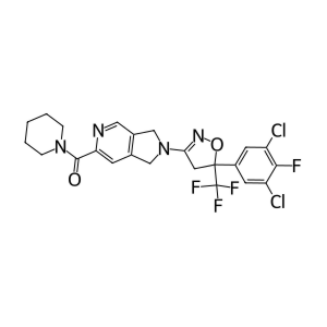 O=C(c1cc2c(cn1)CN(C1=NOC(c3cc(Cl)c(F)c(Cl)c3)(C(F)(F)F)C1)C2)N1CCCCC1